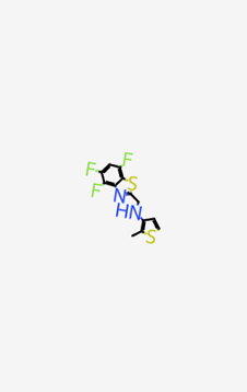 Cc1sccc1NCc1nc2c(F)c(F)cc(F)c2s1